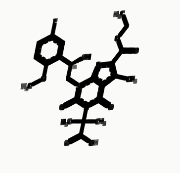 CCOC(=O)c1sc2c(c1C)c(=O)n(C(C)(C)C(=O)O)c(=O)n2C[C@H](O)c1cc(F)ccc1OC